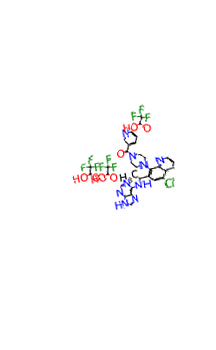 CC(Nc1ncnc2[nH]cnc12)c1cc(Cl)c2cccnc2c1N1CCN(C(=O)c2cccnc2)CC1.O=C(O)C(F)(F)F.O=C(O)C(F)(F)F.O=C(O)C(F)(F)F